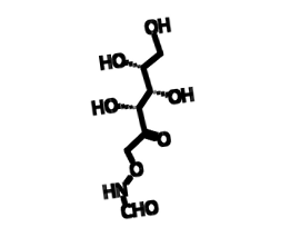 O=CNOCC(=O)[C@H](O)[C@@H](O)[C@H](O)CO